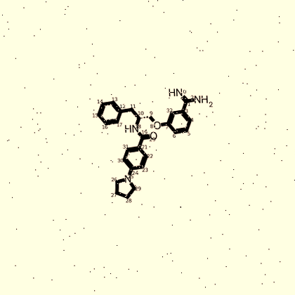 N=C(N)c1cccc(OC[C@@H](Cc2ccccc2)NC(=O)c2ccc(N3CCCC3)cc2)c1